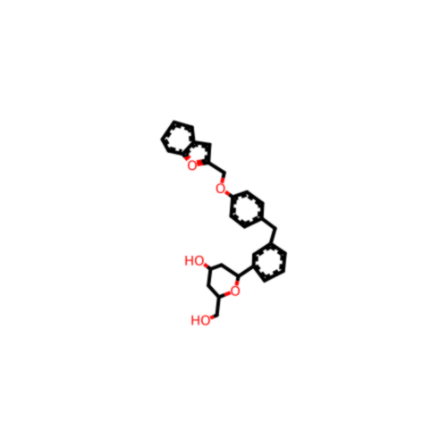 OCC1CC(O)CC(c2cccc(Cc3ccc(OCc4cc5ccccc5o4)cc3)c2)O1